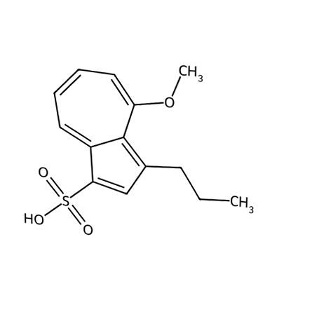 CCCc1cc(S(=O)(=O)O)c2ccccc(OC)c1-2